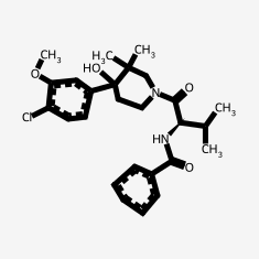 COc1cc(C2(O)CCN(C(=O)[C@H](NC(=O)c3ccccc3)C(C)C)CC2(C)C)ccc1Cl